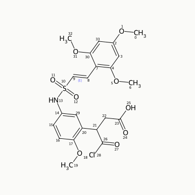 COc1cc(OC)c(/C=C/S(=O)(=O)Nc2ccc(OC)c(C(CC(=O)O)C(=O)Cl)c2)c(OC)c1